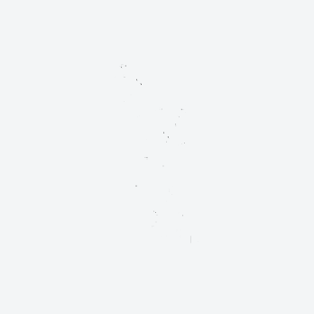 CC(Oc1ccc(F)c(F)c1F)C1CCN(C(=O)[C@H]2C[C@@]3(CCC(=O)N3)C2)CC1